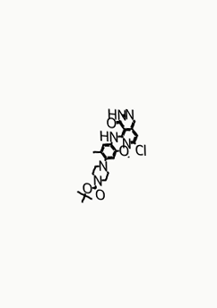 COc1cc(N2CCN(C(=O)OC(C)(C)C)CC2)c(C)cc1Nc1nc(Cl)cc2cn[nH]c(=O)c12